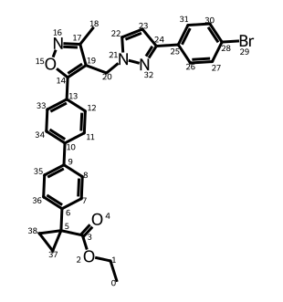 CCOC(=O)C1(c2ccc(-c3ccc(-c4onc(C)c4Cn4ccc(-c5ccc(Br)cc5)n4)cc3)cc2)CC1